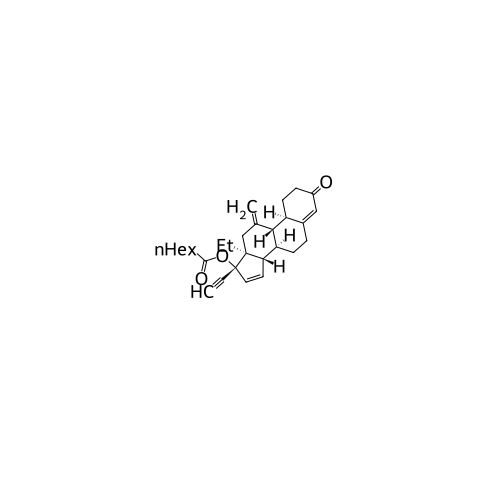 C#C[C@]1(OC(=O)CCCCCC)C=C[C@H]2[C@@H]3CCC4=CC(=O)CC[C@@H]4[C@H]3C(=C)C[C@@]21CC